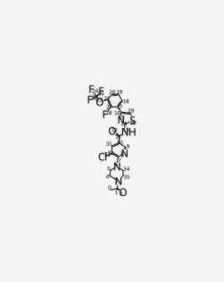 CC(=O)N1CCN(c2ncc(C(=O)Nc3nc(-c4cccc(OC(F)(F)F)c4F)cs3)cc2Cl)CC1